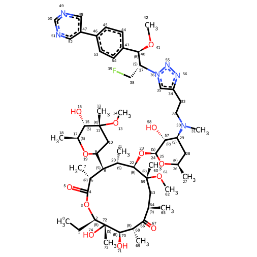 CC[C@H]1OC(=O)[C@H](C)[C@@H](C2C[C@@](C)(OC)[C@@H](O)[C@H](C)O2)[C@H](C)[C@@H](O[C@@H]2O[C@H](C)C[C@H](N(C)CCc3cn([C@H](CF)[C@H](OC)c4ccc(-c5cncnc5)cc4)nn3)[C@H]2O)[C@](C)(OC)C[C@@H](C)C(=O)[C@H](C)[C@@H](O)[C@]1(C)O